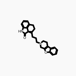 O=C1Nc2cccc3c2C1(CCCCN1CCc2c(oc4ccccc24)C1)CCC3